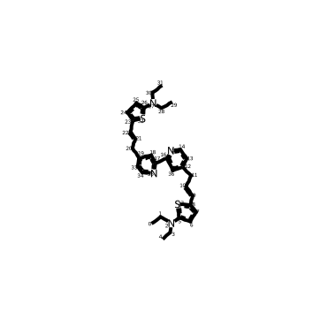 CCN(CC)c1ccc(/C=C/Cc2ccnc(-c3cc(C/C=C/c4ccc(N(CC)CC)s4)ccn3)c2)s1